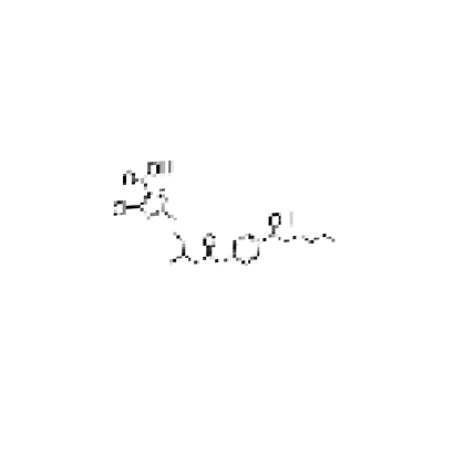 CCCCCC(O)c1ccc(CC(=O)C[C@@H](C)CCCc2cc(Cl)c(C(=O)O)s2)cc1